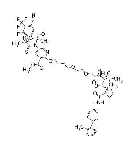 COC(=O)c1cc(N(C(=S)N(C)c2ccc(C#N)c(C(F)(F)F)c2F)C(C)(C)C=O)cnc1OCCCCOCCOCC(=O)NC(C(=O)N1CCCC1C(=O)NCc1ccc(-c2scnc2C)cc1)C(C)(C)C